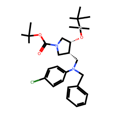 CC(C)(C)OC(=O)N1C[C@@H](CN(Cc2ccccc2)c2ccc(Cl)cc2)[C@@H](O[Si](C)(C)C(C)(C)C)C1